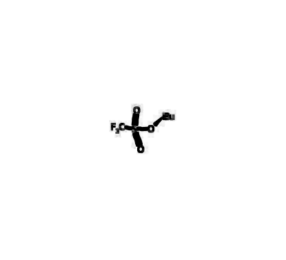 CC[C@H](C)OS(=O)(=O)C(F)(F)F